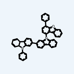 C1=CC2c3ccc(-c4ccc5c6ccccc6n(-c6ccc(-c7ccccc7)c7oc8ccccc8c67)c5c4)cc3N(c3ccccc3)C2C=C1